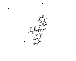 c1ccc(N(c2ccc3ccccc3c2)c2ccc3sc4ccccc4c3c2)cc1